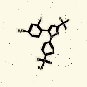 Cc1ccc(-c2cc(C(F)(F)F)nn2-c2ccc(S(N)(=O)=O)cc2)c(F)c1